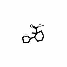 CC1(C(=O)O)CCCCC1C1CCCO1